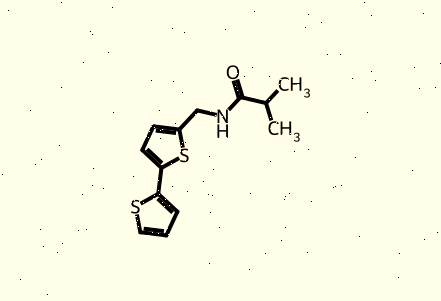 CC(C)C(=O)NCc1ccc(-c2cccs2)s1